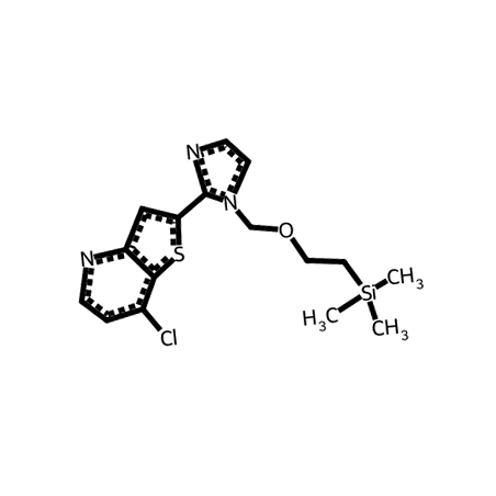 C[Si](C)(C)CCOCn1ccnc1-c1cc2nccc(Cl)c2s1